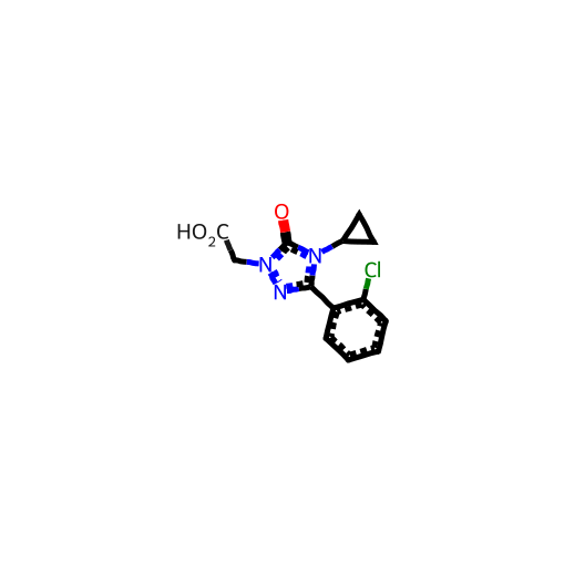 O=C(O)Cn1nc(-c2ccccc2Cl)n(C2CC2)c1=O